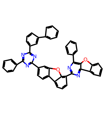 c1ccc(-c2cccc(-c3nc(-c4ccccc4)nc(-c4ccc5c(c4)oc4c(-c6nc(-c7ccccc7)c7oc8ccccc8c7n6)cccc45)n3)c2)cc1